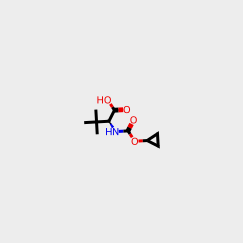 CC(C)(C)[C@H](NC(=O)OC1CC1)C(=O)O